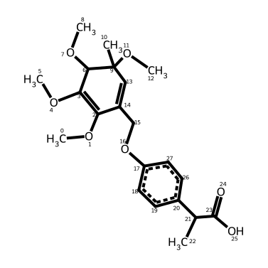 COC1=C(OC)C(OC)C(C)(OC)C=C1COc1ccc(C(C)C(=O)O)cc1